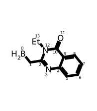 BCc1nc2ccccc2c(=O)n1CC